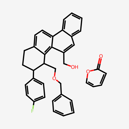 O=c1cccco1.OCc1cc2ccccc2c2ccc3c(c12)C(COCc1ccccc1)C(c1ccc(F)cc1)CC3